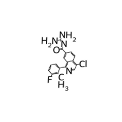 Cc1c(F)cccc1-c1ncc(Cl)c2ccc(C(=O)N=C(N)N)cc12